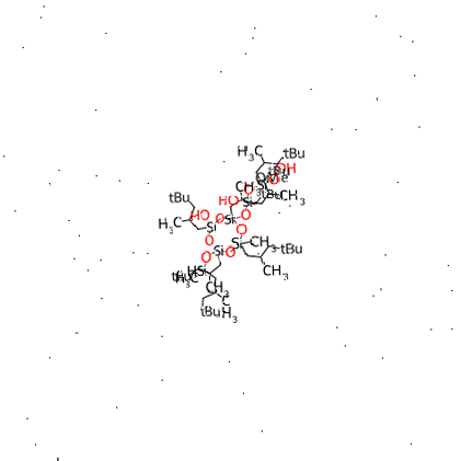 CO[Si](CC(C)CC(C)(C)C)(OO)O[Si](O)(CC(C)CC(C)(C)C)O[Si]1(CC(C)CC(C)(C)C)O[Si](C)(CC(C)CC(C)(C)C)O[Si](CC(C)CC(C)(C)C)(O[SiH](C)CC(C)CC(C)(C)C)O[Si](O)(CC(C)CC(C)(C)C)O1